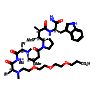 CC[C@H](C)[C@@H]([C@@H](CC(=O)N1CCC[C@H]1[C@H](OC)[C@@H](C)C(=O)N[C@@H](Cc1c[nH]c2ccccc12)C(N)=O)OC)N(C)[C@H](C(=O)NC(=O)[C@H](C(C)C)N(C)CCOCCOCCOCCC(=O)O)C(C)C